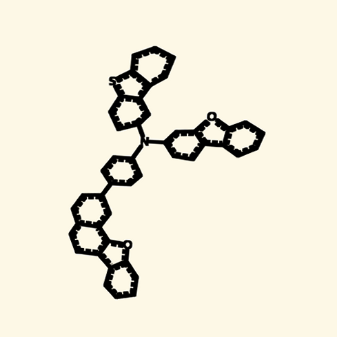 c1ccc2c(c1)oc1cc(N(c3ccc(-c4ccc5ccc6c7ccccc7oc6c5c4)cc3)c3ccc4sc5ccccc5c4c3)ccc12